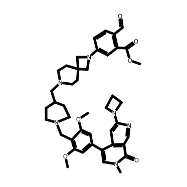 COC(=O)c1cc(N2CC3(CCN(CC4CCN(Cc5c(OC)cc(-c6cn(C)c(=O)c7cnc(N8CCC8)cc67)cc5OC)CC4)CC3)C2)ccc1C=O